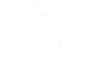 CC(C)(C)N1CCc2[nH]c(=O)ccc2C1